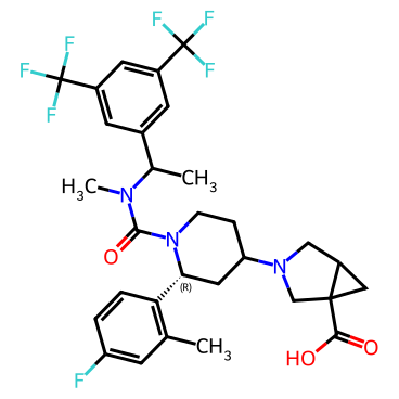 Cc1cc(F)ccc1[C@H]1CC(N2CC3CC3(C(=O)O)C2)CCN1C(=O)N(C)C(C)c1cc(C(F)(F)F)cc(C(F)(F)F)c1